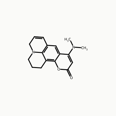 CN(C)c1cc(=O)oc2c3c4c(cc12)C=CCN4CCC3